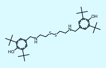 CC(C)(C)c1cc(CNCCSSCCNCc2cc(C(C)(C)C)c(O)c(C(C)(C)C)c2)cc(C(C)(C)C)c1O